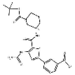 CC(C)(C)OC(=O)N1CCC[C@H](NC(=O)c2sc(-c3cccc([N+](=O)[O-])c3)cc2NC(N)=O)C1